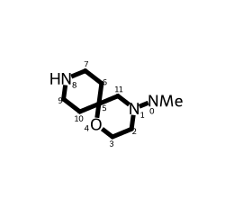 CNN1CCOC2(CCNCC2)C1